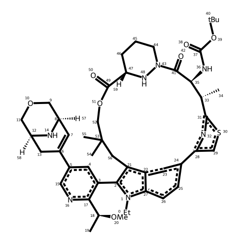 CCn1c(-c2cc(C3=C[C@@H]4COC[C@H](C3)N4)cnc2[C@H](C)OC)c2c3cc(ccc31)-c1csc(n1)[C@@H](C)[C@H](NC(=O)OC(C)(C)C)C(=O)N1CCC[C@H](N1)C(=O)OCC(C)(C)C2